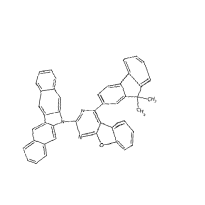 CC1(C)c2ccccc2-c2ccc(-c3nc(-n4c5cc6ccccc6cc5c5cc6ccccc6cc54)nc4oc5ccccc5c34)cc21